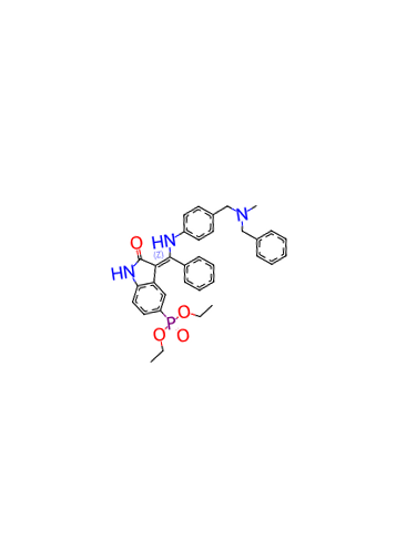 CCOP(=O)(OCC)c1ccc2c(c1)/C(=C(/Nc1ccc(CN(C)Cc3ccccc3)cc1)c1ccccc1)C(=O)N2